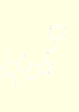 CC1=C(C#N)C(c2ccc3[nH]nc(N=Cc4cccnc4)c3c2)C(C#N)=C(C)N1